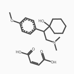 COc1ccc(C(CN(C)C)C2(O)CCCCC2)cc1.O=C(O)/C=C\C(=O)O